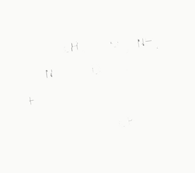 Cc1nc(F)ccc1Oc1cc(C(F)(F)F)ccc1C(N)=O